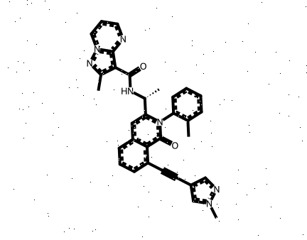 Cc1ccccc1-n1c([C@@H](C)NC(=O)c2c(C)nn3cccnc23)cc2cccc(C#Cc3cnn(C)c3)c2c1=O